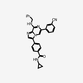 CC(C)CNc1nc(-c2cccc(C#N)c2)cn2c(-c3ccc(C(=O)NC4CC4)cc3)cnc12